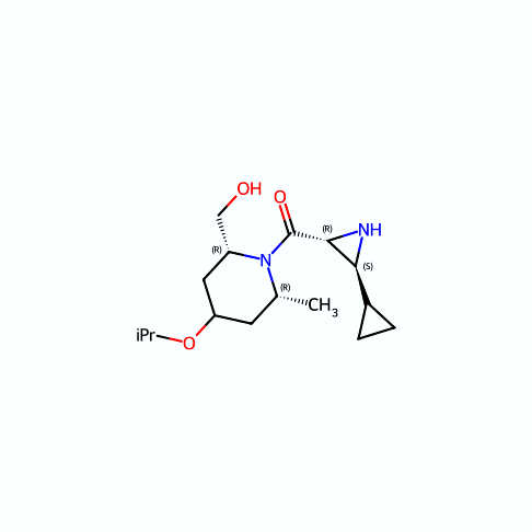 CC(C)OC1C[C@H](CO)N(C(=O)[C@@H]2N[C@H]2C2CC2)[C@H](C)C1